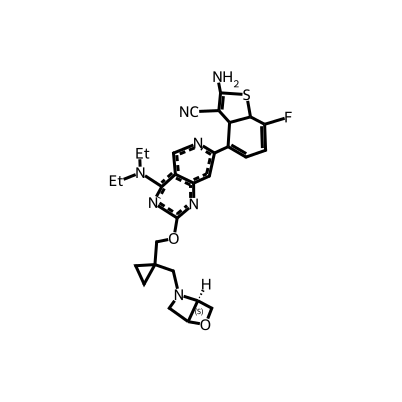 CCN(CC)c1nc(OCC2(CN3CC4OC[C@@H]43)CC2)nc2cc(C3=CC=C(F)C4SC(N)=C(C#N)C34)ncc12